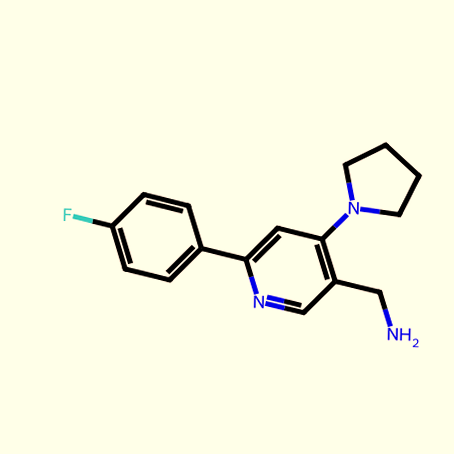 NCc1cnc(-c2ccc(F)cc2)cc1N1CCCC1